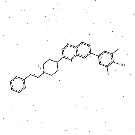 Cc1cc(-c2ccc3ncc(N4CCN(CCc5ccccc5)CC4)nc3c2)cc(C)c1O